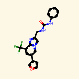 O=C(NCc1cn2cc(-c3ccoc3)cc(C(F)(F)F)c2n1)Nc1ccccc1